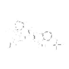 C=CS(=O)(=O)NC1(CCC(C)C)C(=O)C(C2=NS(O)(O)c3cc(NS(C)(=O)=O)ccc3N2)=C(O)c2ccccc21